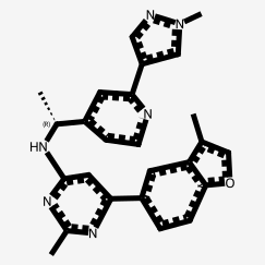 Cc1nc(N[C@H](C)c2ccnc(-c3cnn(C)c3)c2)cc(-c2ccc3occ(C)c3c2)n1